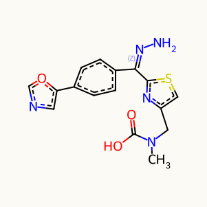 CN(Cc1csc(/C(=N\N)c2ccc(-c3cnco3)cc2)n1)C(=O)O